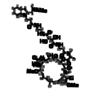 CNN(C)Cc1cc2ccccc2n1CCC(=O)NCCNC(=O)[C@@H](O)[C@@H](O)C(=O)NCCC(=O)N(C)[C@@H](C)C(=O)O[C@H]1CC(=O)N(C)c2cc(cc(OC)c2Cl)C/C(C)=C/C=C/[C@@H](OC)[C@@]2(O)C[C@H](OC(=O)N2)[C@@H](C)[C@@H]2O[C@@]12C